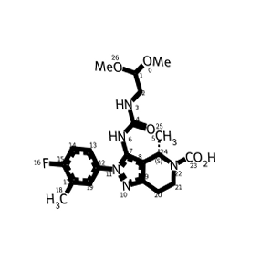 COC(CNC(=O)Nc1c2c(nn1-c1ccc(F)c(C)c1)CCN(C(=O)O)[C@H]2C)OC